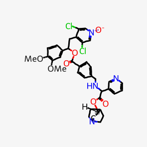 COc1ccc(C(Cc2c(Cl)c[n+]([O-])cc2Cl)OC(=O)c2ccc(CNC(C(=O)O[C@H]3CN4CCC3CC4)c3cccnc3)cc2)cc1OC